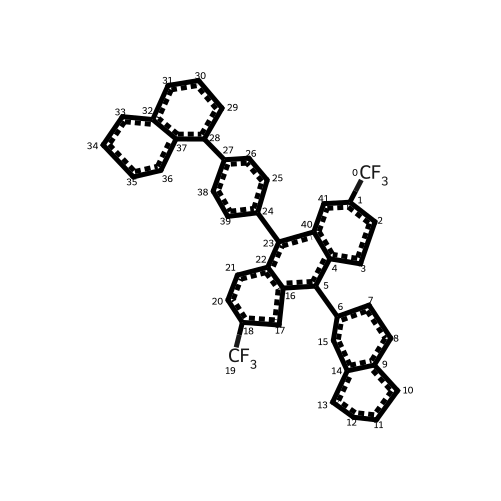 FC(F)(F)c1ccc2c(-c3ccc4ccccc4c3)c3cc(C(F)(F)F)ccc3c(-c3ccc(-c4cccc5ccccc45)cc3)c2c1